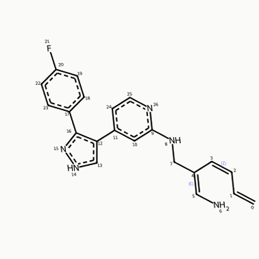 C=C/C=C\C(=C/N)CNc1cc(-c2c[nH]nc2-c2ccc(F)cc2)ccn1